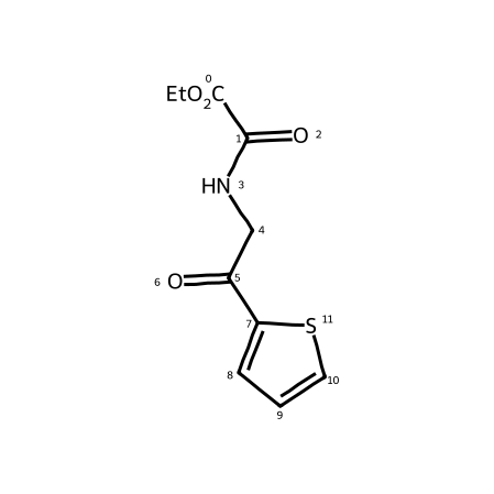 CCOC(=O)C(=O)NCC(=O)c1cccs1